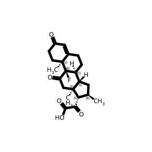 C[C@@H]1C[C@H]2[C@@H]3CCC4=CC(=O)CC[C@]4(C)[C@@]3(F)C(=O)C[C@]2(C)[C@H]1C(=O)C(=O)O